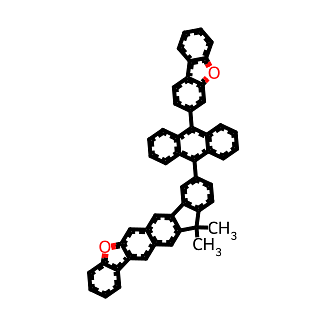 CC1(C)c2ccc(-c3c4ccccc4c(-c4ccc5c(c4)oc4ccccc45)c4ccccc34)cc2-c2cc3cc4oc5ccccc5c4cc3cc21